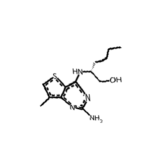 CCCC[C@H](CO)Nc1nc(N)nc2c(C)csc12